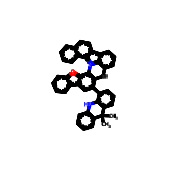 CC1(C)c2ccccc2Nc2c(-c3cc4c(oc5ccccc54)c4c3Bc3cccc5c6ccc7ccccc7c6n-4c35)cccc21